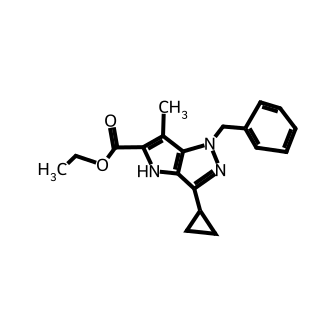 CCOC(=O)c1[nH]c2c(C3CC3)nn(Cc3ccccc3)c2c1C